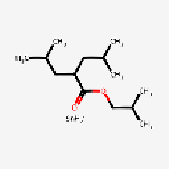 CC(C)COC(=O)C(CC(C)C)CC(C)C.[SnH2]